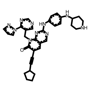 O=c1c(C#CC2CCCC2)cc2cnc(Nc3ccc(NC4CCNCC4)cc3)nc2n1Cc1cncnc1-n1cccn1